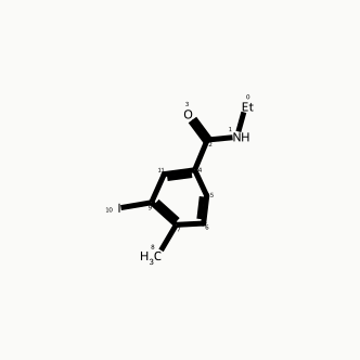 CCNC(=O)c1ccc(C)c(I)c1